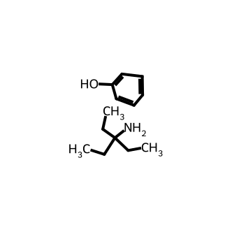 CCC(N)(CC)CC.Oc1ccccc1